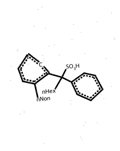 CCCCCCCCCc1ccccc1C(CCCCCC)(c1ccccc1)S(=O)(=O)O